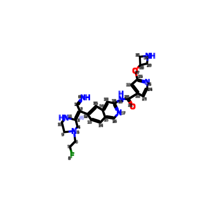 N=C/C(=C1/CN(CCF)CCN1)c1ccc2cnc(NC(=O)c3ccnc(OC4CNC4)c3)cc2c1